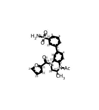 CC(=O)N1c2ccc(-c3cccc(S(N)(=O)=O)c3)cc2N(C(=O)c2ccco2)C[C@@H]1C